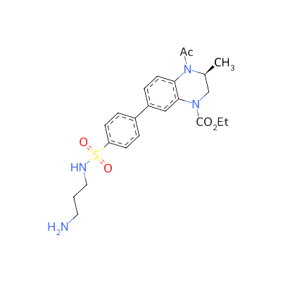 CCOC(=O)N1C[C@H](C)N(C(C)=O)c2ccc(-c3ccc(S(=O)(=O)NCCCN)cc3)cc21